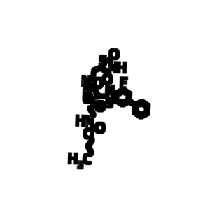 CCCCOC(=O)NCCS(=O)(=O)C(c1nnc(CC2SC(=O)NC2=O)o1)c1nc2c(F)cc(-c3ccccc3)cc2s1